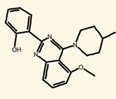 COc1cccc2nc(-c3ccccc3O)nc(N3CCC(C)CC3)c12